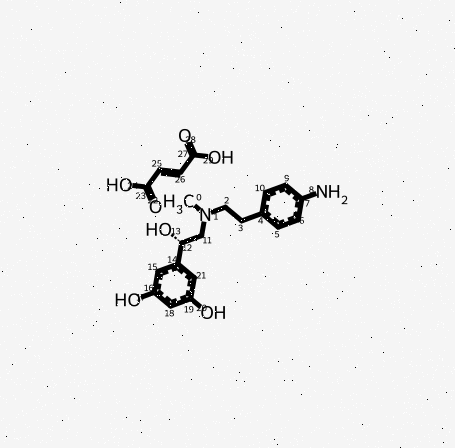 CN(CCc1ccc(N)cc1)C[C@@H](O)c1cc(O)cc(O)c1.O=C(O)/C=C/C(=O)O